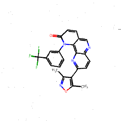 Cc1noc(C)c1-c1ccc2ncc3ccc(=O)n(-c4cccc(C(F)(F)F)c4)c3c2n1